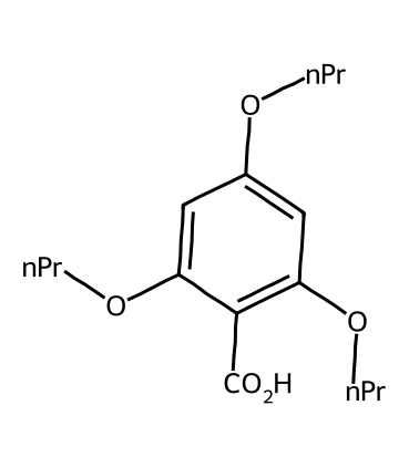 CCCOc1cc(OCCC)c(C(=O)O)c(OCCC)c1